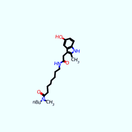 CCCCN(C)C(=O)CCCCCCCNC(=O)Cc1c(C)[nH]c2ccc(O)cc12